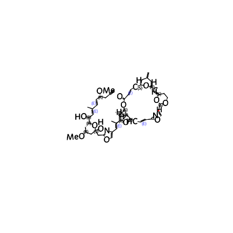 C#CC[C@H](/C=C/C(C)=C/[C@@H](O)[C@H]1C[C@@H](OC)C[C@@](O)(Cc2nc(/C=C(\C)[C@@H]3O[C@@H]4C/C=C/c5nc(co5)[C@H]5OCC[C@@H](C[C@H]6CC(=C)C[C@H](C/C=C/C(=O)O[C@@H]([C@H]4C)[C@H]3C)O6)O5)co2)O1)OC